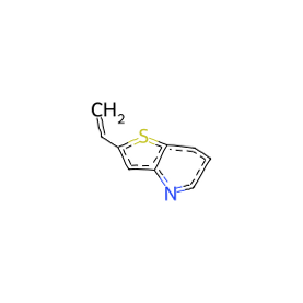 C=Cc1cc2ncccc2s1